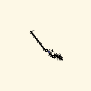 CCCOCCOCCOCCOCCOCCOCCCCCCOc1ccc(/C(C)=N/NC(=O)COc2ccc3nc4c(c(CC)c3c2)Cn2c-4cc3c(c2=O)COC(=O)[C@@H]3CC)cc1